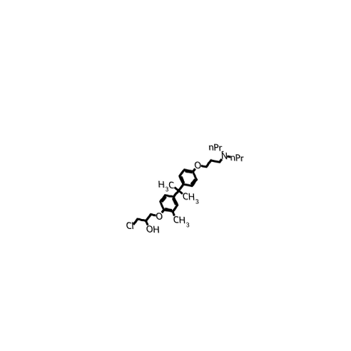 CCCN(CCC)CCCOc1ccc(C(C)(C)c2ccc(OCC(O)CCl)c(C)c2)cc1